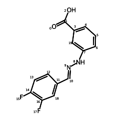 O=C(O)c1cccc(N/N=C/c2ccc(F)c(F)c2)c1